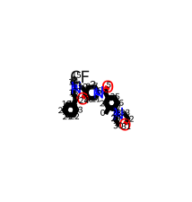 Cc1cc(C(=O)N2CCC3(CC2)CN(CC(F)(F)F)CC(c2ccccc2)O3)ccc1N1CCOCC1